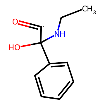 CCNC(O)([C]=O)c1ccccc1